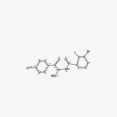 Cc1c(Br)cccc1C(=O)NN(C(=O)c1ccc(Cl)cc1)C(C)(C)C